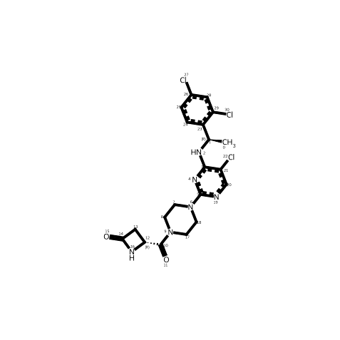 C[C@@H](Nc1nc(N2CCN(C(=O)[C@H]3CC(=O)N3)CC2)ncc1Cl)c1ccc(Cl)cc1Cl